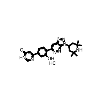 CC1(C)CC(n2nnc3cc(-c4ccc(-c5cc(=O)[nH]cn5)cc4O)nnc32)CC(C)(C)N1.Cl